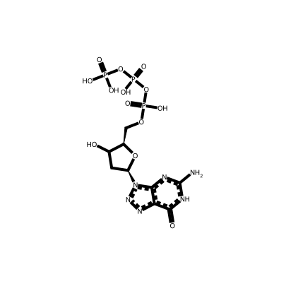 Nc1nc2c(nnn2[C@H]2CC(O)[C@@H](COP(=O)(O)OP(=O)(O)OP(=O)(O)O)O2)c(=O)[nH]1